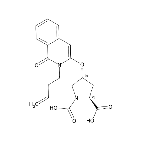 C=CCCn1c(O[C@@H]2C[C@@H](C(=O)O)N(C(=O)O)C2)cc2ccccc2c1=O